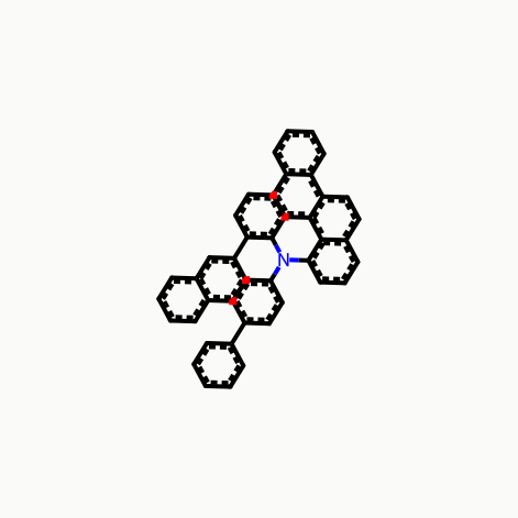 c1ccc(-c2ccc(N(c3ccccc3-c3ccc4ccccc4c3)c3cccc4ccc5c6ccccc6ccc5c34)cc2)cc1